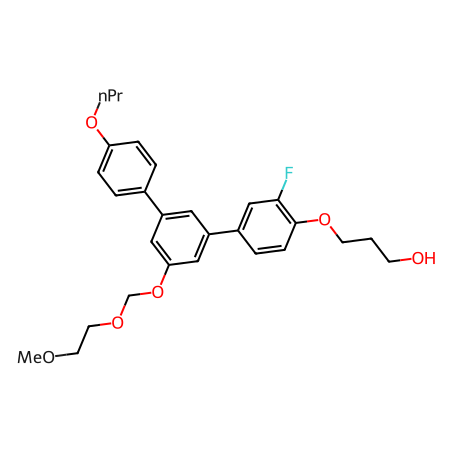 CCCOc1ccc(-c2cc(OCOCCOC)cc(-c3ccc(OCCCO)c(F)c3)c2)cc1